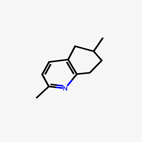 Cc1ccc2c(n1)CCC(C)C2